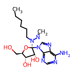 C=NN(CCCCCC)[C@@]1(n2cnc3c(N)ncnc32)O[C@H](CO)[C@@H](O)[C@H]1O